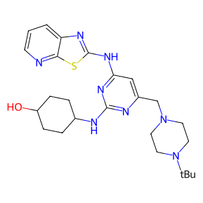 CC(C)(C)N1CCN(Cc2cc(Nc3nc4cccnc4s3)nc(NC3CCC(O)CC3)n2)CC1